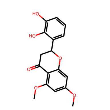 COc1cc(OC)c2c(c1)OC(c1cccc(O)c1O)CC2=O